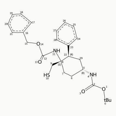 CC(C)(C)OC(=O)N[C@@H]1CC[C@](CS)(NC(=O)OCc2ccccc2)[C@@H](c2ccccc2)C1